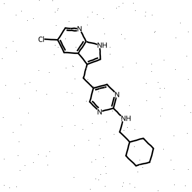 Clc1cnc2[nH]cc(Cc3cnc(NCC4CCCCC4)nc3)c2c1